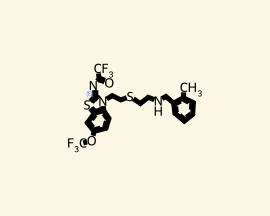 Cc1ccccc1CNCCSCCn1/c(=N\C(=O)C(F)(F)F)sc2cc(OC(F)(F)F)ccc21